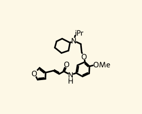 COc1ccc(NC(=O)C=Cc2ccoc2)cc1OCCN(C(C)C)C1CCCCC1